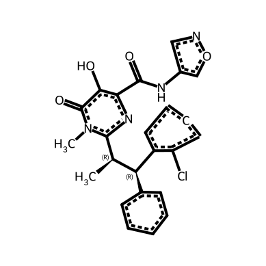 C[C@@H](c1nc(C(=O)Nc2cnoc2)c(O)c(=O)n1C)[C@H](c1ccccc1)c1ccccc1Cl